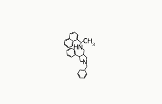 C[C@@H](NCC1CN(Cc2ccccc2)CC1c1ccccc1)c1cccc2ccccc12